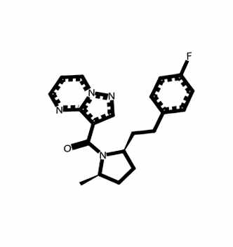 C[C@@H]1CC[C@H](CCc2ccc(F)cc2)N1C(=O)c1cnn2cccnc12